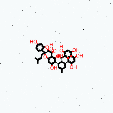 CC(C)=CCC12Oc3cc(O)c([C@@H]4C=C(C)C[C@H](c5ccc(O)cc5O)[C@H]4C(=O)c4ccc(O)cc4O)c(O)c3C(=O)C1(O)Oc1cc(O)ccc12